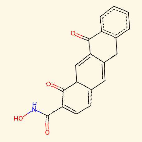 O=C(NO)C1=CC=C2C=C3Cc4ccccc4C(=O)C3=CC2C1=O